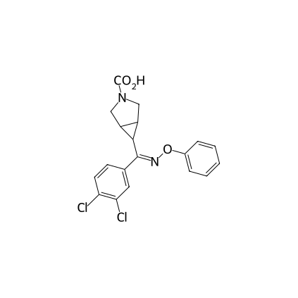 O=C(O)N1CC2C(C1)C2C(=NOc1ccccc1)c1ccc(Cl)c(Cl)c1